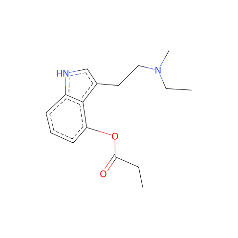 CCC(=O)Oc1cccc2[nH]cc(CCN(C)CC)c12